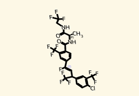 C[C@@H](NC(=O)c1ccc(/C(F)=C/C(c2ccc(Cl)c(C(F)(F)F)c2)C(F)(F)F)cc1C(F)(F)F)C(=O)NCC(F)(F)F